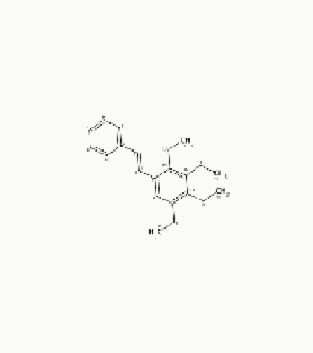 CCc1cc(C=Cc2ccccc2)c(CC)c(CC)c1CC